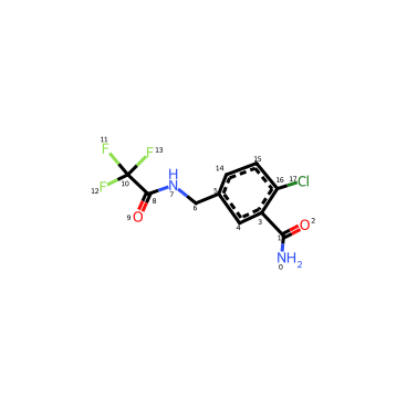 NC(=O)c1cc(CNC(=O)C(F)(F)F)ccc1Cl